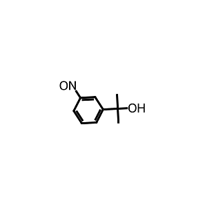 CC(C)(O)c1cccc(N=O)c1